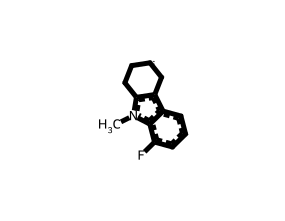 Cn1c2c(c3cccc(F)c31)C[C]CC2